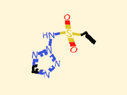 C=CS(=O)(=O)Nn1ncnn1